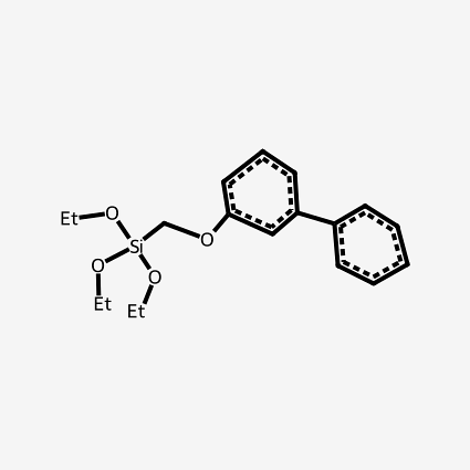 CCO[Si](COc1cccc(-c2ccccc2)c1)(OCC)OCC